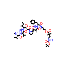 CC[C@H](C)[C@@H]([C@@H](CC(=O)N1CCC[C@H]1[C@H](OC)[C@@H](C)C(=O)N[C@@H](Cc1ccccc1)C(=O)NCCCOC(=O)C(C)(C)CCNC(=O)OC(C)(C)C)OC)N(C)C(=O)[C@@H](NC(=O)[C@H](C(C)C)N(C)C)C(C)C